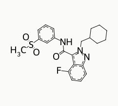 CS(=O)(=O)c1cccc(NC(=O)c2c3c(F)cccc3nn2CC2CCCCC2)c1